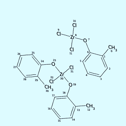 Cc1ccccc1[O][Zr]([Cl])([Cl])[Cl].Cc1ccccc1[O][Zr]([Cl])([Cl])[O]c1ccccc1C